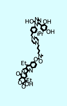 CCc1c2c(nc3ccc(OC(=O)N(C)CCCCN4CCN(Cc5ccc(-n6c(O)nnc6-c6cc(C(C)C)c(O)cc6O)cc5)CC4)cc13)-c1cc3c(c(=O)n1C2)COC(=O)C3(O)CC